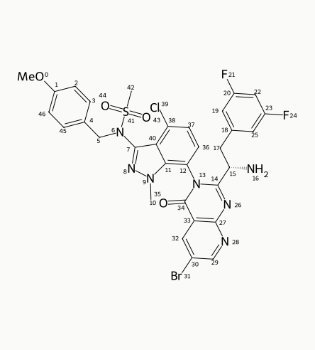 COc1ccc(CN(c2nn(C)c3c(-n4c([C@@H](N)Cc5cc(F)cc(F)c5)nc5ncc(Br)cc5c4=O)ccc(Cl)c23)S(C)(=O)=O)cc1